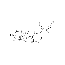 CC(C)(C)OC(=O)N1CCOC(C(C)(C)N2C3CCC2CNC3)C1